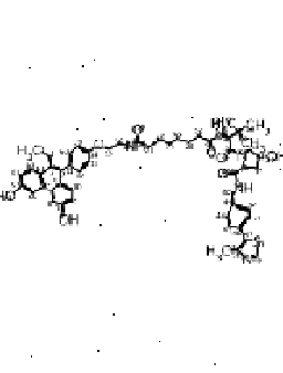 CCC(=C(c1ccc(O)cc1)c1ccc(OCCNC(=O)CCCCCCC(=O)NC(C(=O)N2C[C@H](O)C[C@H]2C(=O)NCc2ccc(-c3scnc3C)cc2)C(C)(C)C)cc1)c1ccc(O)cc1